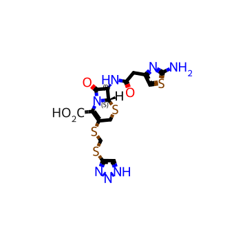 Nc1nc(CC(=O)N[C@@H]2C(=O)N3C(C(=O)O)=C(SCSc4c[nH]nn4)CS[C@@H]23)cs1